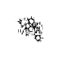 CC1C=CC(O)=CC1(C)[C@]12CCN(CC3CC3)[C@H](C)[C@]1(O)CC[C@]1(C2)C(=O)NC(=O)N1Cc1ccccc1